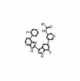 CC(C)C(=O)Nc1cncc(-c2cc(F)c3[nH]nc(-c4nc5c(-c6ccccc6F)ccnc5[nH]4)c3c2)c1